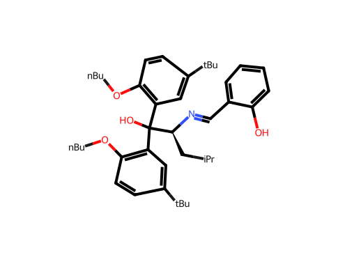 CCCCOc1ccc(C(C)(C)C)cc1C(O)(c1cc(C(C)(C)C)ccc1OCCCC)[C@H](CC(C)C)N=Cc1ccccc1O